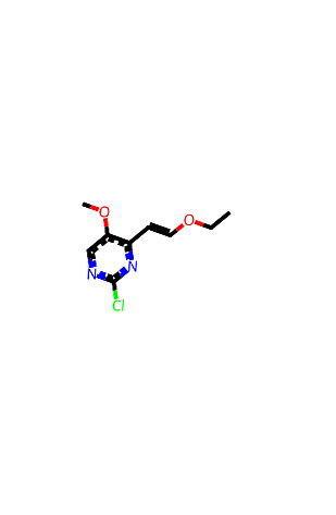 CCO/C=C/c1nc(Cl)ncc1OC